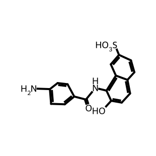 Nc1ccc(C(=O)Nc2c(O)ccc3ccc(S(=O)(=O)O)cc23)cc1